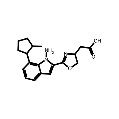 CC1CCCC1c1cccc2cc(C3=NC(CC(=O)O)CO3)n(N)c12